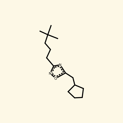 CC(C)(C)CCCc1noc(CC2CCCC2)n1